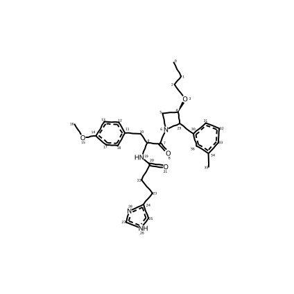 CCCO[C@@H]1CN(C(=O)C(Cc2ccc(OC)cc2)NC(=O)CCc2c[nH]cn2)C1c1cccc(C)c1